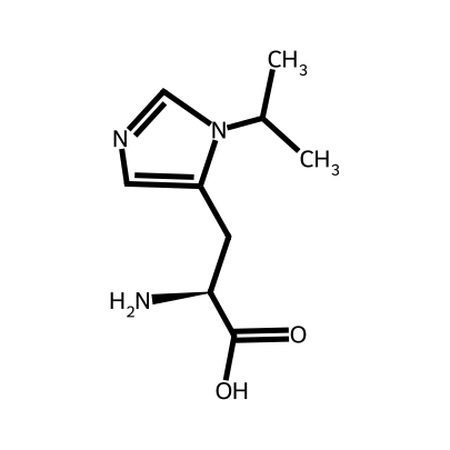 CC(C)n1cncc1C[C@H](N)C(=O)O